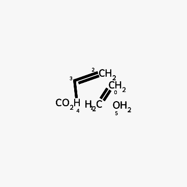 C=C.C=CC(=O)O.O